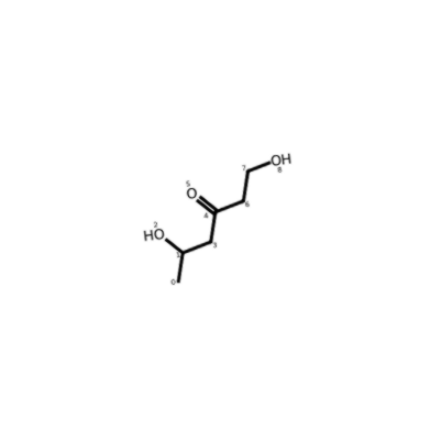 CC(O)CC(=O)CCO